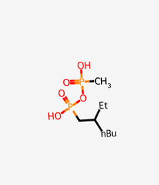 CCCCC(CC)CP(=O)(O)OP(C)(=O)O